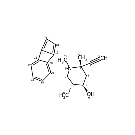 C#C[C@]1(C)C[C@@H](O)[C@H](C)CN1C.c1ccc2c3ccc-3c2c1